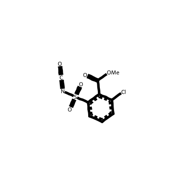 COC(=O)c1c(Cl)cccc1S(=O)(=O)N=C=O